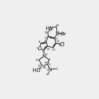 CN(C)[C@@H]1CN(c2occ3c4c(c(Cl)cc23)N(Br)CNC4)C[C@H]1O